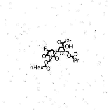 CCCCCCC(=O)OCn1c(=O)c(F)cn([C@H]2C[C@@](O)(C(=O)C(C)C)[C@@H](COC(=O)C(C)C)O2)c1=O